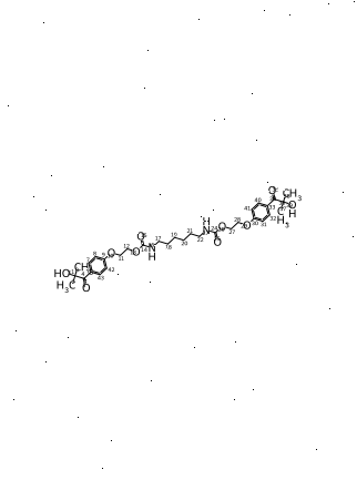 CC(C)(O)C(=O)c1ccc(OCCOC(=O)NCCCCCCNC(=O)OCCOc2ccc(C(=O)C(C)(C)O)cc2)cc1